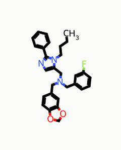 CCCCn1c(CN(Cc2cccc(F)c2)Cc2ccc3c(c2)OCO3)cnc1-c1ccccc1